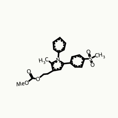 COC(=O)OCCc1cc(-c2ccc(S(C)(=O)=O)cc2)n(-c2ccccc2)c1C